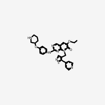 CCOc1cc2cnc(Nc3ccc(OC4CCCNC4)cc3)nc2n(Cc2cnsc2-c2ccncc2)c1=O